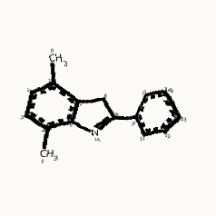 Cc1ccc(C)c2c1CC(c1ccccc1)=N2